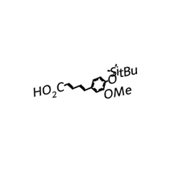 COc1cc(/C=C/C=C/C(=O)O)ccc1O[Si](C)(C)C(C)(C)C